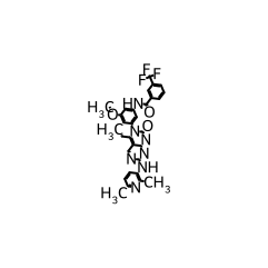 CCc1c2cnc(Nc3ccc(C)nc3C)nc2nc(=O)n1-c1cc(NC(=O)c2cccc(C(F)(F)F)c2)cc(OC)c1